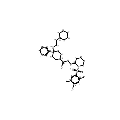 Cc1cc(S(=O)(=O)N2CCCCC2CCC(=O)N2CCC(OCCN3CCCCC3)(c3cccnc3)CC2)c(C)cc1Cl